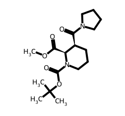 COC(=O)[C@H]1[C@@H](C(=O)N2CCCC2)CCCN1C(=O)OC(C)(C)C